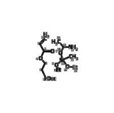 C=CC(=O)OCCCCCCCCCCCC.CCO[Si](C)(OCC)OC(C)N